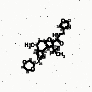 C[C@@H]1Cc2oc(C(=O)NCc3cocn3)c(C(C)(F)F)c2-c2nn(C[C@H]3COCCO3)cc21